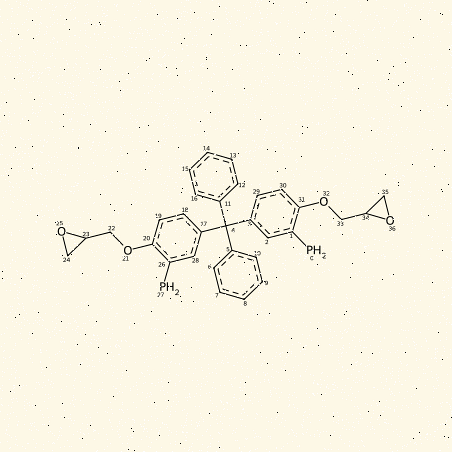 Pc1cc(C(c2ccccc2)(c2ccccc2)c2ccc(OCC3CO3)c(P)c2)ccc1OCC1CO1